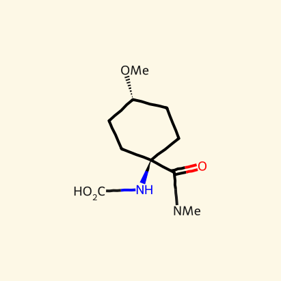 CNC(=O)[C@]1(NC(=O)O)CC[C@H](OC)CC1